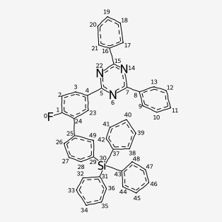 Fc1ccc(-c2nc(-c3ccccc3)nc(-c3ccccc3)n2)cc1-c1cccc([Si](c2ccccc2)(c2ccccc2)c2ccccc2)c1